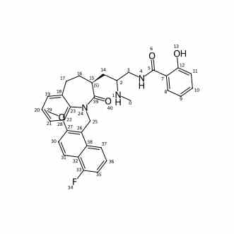 CNC(CNC(=O)c1ccccc1O)C[C@@H]1CCc2ccccc2N(Cc2c(OC)ccc3c(F)cccc23)C1=O